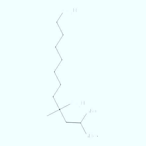 CCCCCCC(CCCC)CC(C)(CCCCCCCC(=O)O)C(=O)O